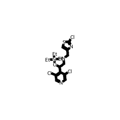 CC[Si](CC)(CC)OC(CNCc1csc(Cl)n1)c1c(Cl)cncc1Cl